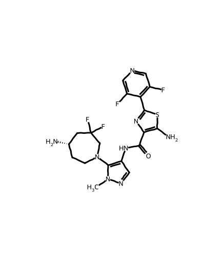 Cn1ncc(NC(=O)c2nc(-c3c(F)cncc3F)sc2N)c1N1CC[C@H](N)CC(F)(F)C1